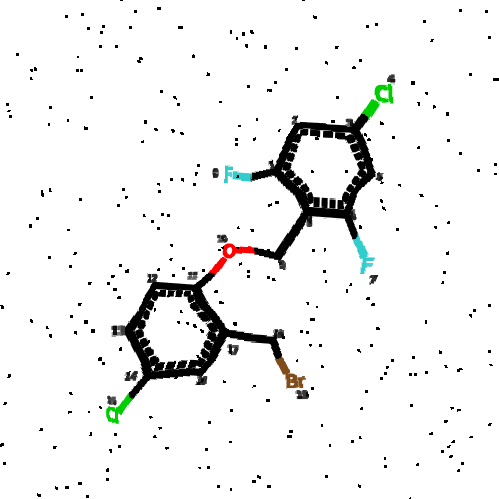 Fc1cc(Cl)cc(F)c1COc1ccc(Cl)cc1CBr